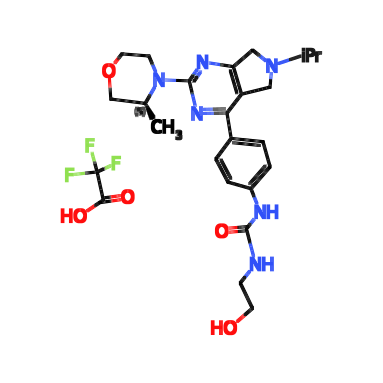 CC(C)N1Cc2nc(N3CCOC[C@@H]3C)nc(-c3ccc(NC(=O)NCCO)cc3)c2C1.O=C(O)C(F)(F)F